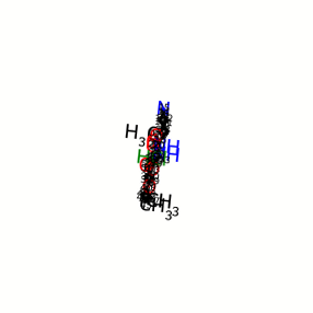 COC(=O)[C@H](Cc1ccc(-c2ccc(C#N)cc2)cc1)NC(=O)[C@@H]1Cc2cc3c(cc2CN1)OC(c1ccc(OCc2ccc(C)c(C)c2)cc1)CO3.Cl